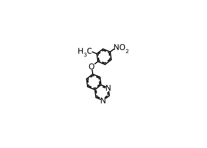 Cc1cc([N+](=O)[O-])ccc1Oc1ccc2cncnc2c1